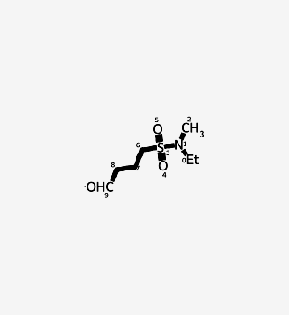 CCN(C)S(=O)(=O)CCC[C]=O